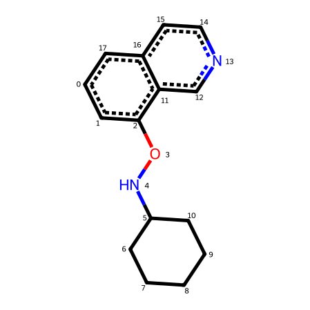 c1cc(ONC2CCCCC2)c2cnccc2c1